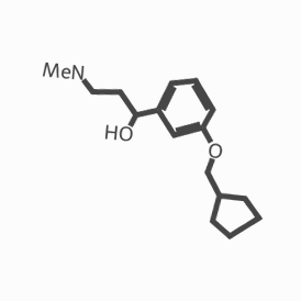 CNCCC(O)c1cccc(OCC2CCCC2)c1